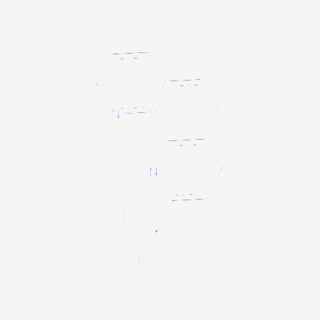 FC(F)(F)c1ccc2ccc3cccnc3c2n1